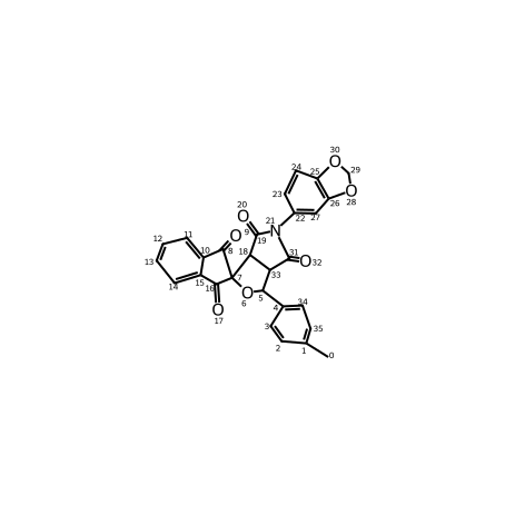 Cc1ccc(C2OC3(C(=O)c4ccccc4C3=O)C3C(=O)N(c4ccc5c(c4)OCO5)C(=O)C23)cc1